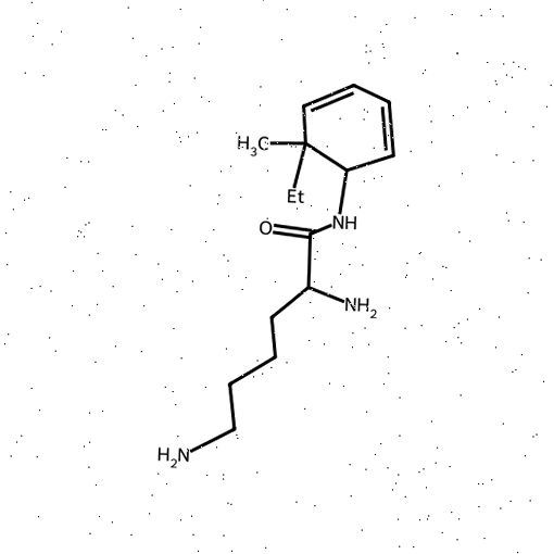 CCC1(C)C=CC=CC1NC(=O)C(N)CCCCN